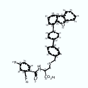 O=C(NC(CSCc1ccc(-c2ccc(-c3cccc4c3oc3ccccc34)cc2)cc1)C(=O)O)c1ccc(F)cc1F